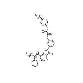 C[C@@H](Nc1ncnc2[nH]c(-c3cccc(CNC(=O)CN4CCN(C)CC4)c3)cc12)c1ccccc1